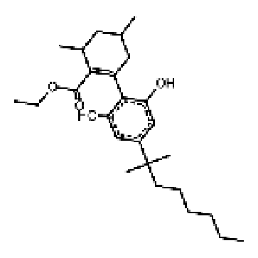 CCCCCCC(C)(C)c1cc(O)c(C2=C(C(=O)OCC)C(C)CC(C)C2)c(O)c1